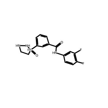 O=C(Nc1ccc(F)c(F)c1)c1cccc([SH]2(=O)CCNN2)c1